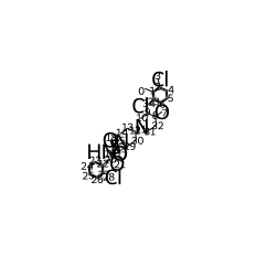 Cc1c(Cl)ccc(OC2CCN(C3CCN(S(=O)(=O)NC(=O)c4ccccc4Cl)CC3)CC2)c1Cl